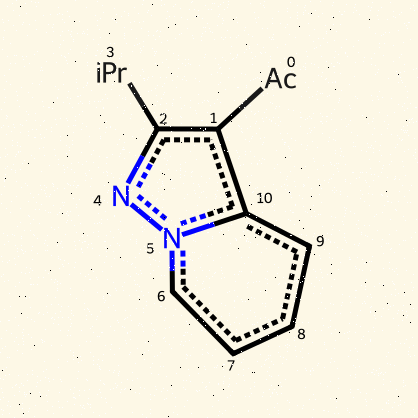 CC(=O)c1c(C(C)C)nn2ccccc12